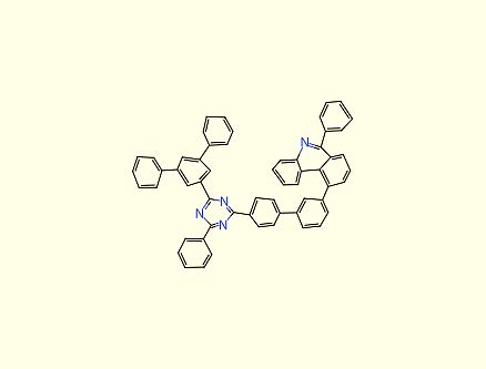 c1ccc(-c2cc(-c3ccccc3)cc(-c3nc(-c4ccccc4)nc(-c4ccc(-c5cccc(-c6cccc7c(-c8ccccc8)nc8ccccc8c67)c5)cc4)n3)c2)cc1